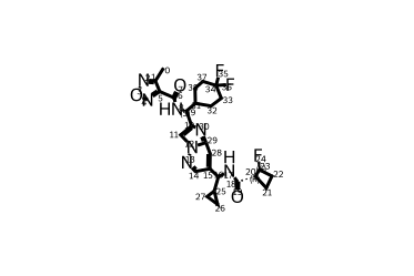 Cc1nonc1C(=O)N[C@H](c1cn2ncc(C(NC(=O)[C@H]3CC[C@@H]3F)C3CC3)cc2n1)C1CCC(F)(F)CC1